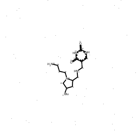 CC(C)(C)C1CC(CNCc2c[nH]c(=O)[nH]c2=O)N(CCCN)C1